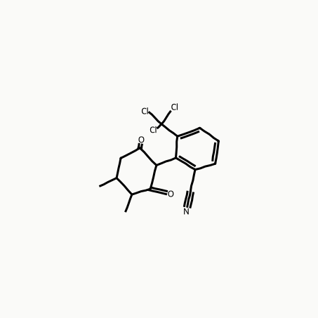 CC1CC(=O)C(c2c(C#N)cccc2C(Cl)(Cl)Cl)C(=O)C1C